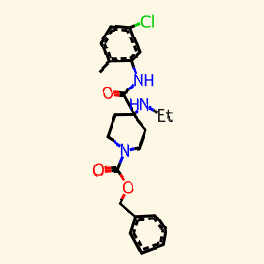 CCNC1(C(=O)Nc2cc(Cl)ccc2C)CCN(C(=O)OCc2ccccc2)CC1